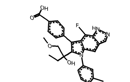 CCC(O)(COC)c1c(-c2ccc(C(=O)O)cc2)c2c(F)c3[nH]ncc3cc2n1-c1ccc(F)c(C)c1